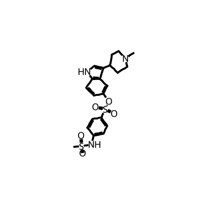 CN1CCC(c2c[nH]c3ccc(OS(=O)(=O)c4ccc(NS(C)(=O)=O)cc4)cc23)CC1